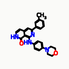 Cc1cccc(-c2cc3cc[nH]c(=O)c3c(Nc3ccc(N4CCOCC4)cc3)n2)c1